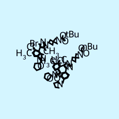 CCCCOC(=O)N1CC2(CC(n3nc(-c4ccc(CN5CCCC5=O)cc4)c(-c4c(Cl)c(C)cc5c4cnn5C4CCCCO4)c3C)C2)C1.Cc1cc2c(cnn2C2CCCCO2)c(-c2c(Br)nn(C3CC4(C3)CN(C(=O)OC(C)(C)C)C4)c2C)c1Cl